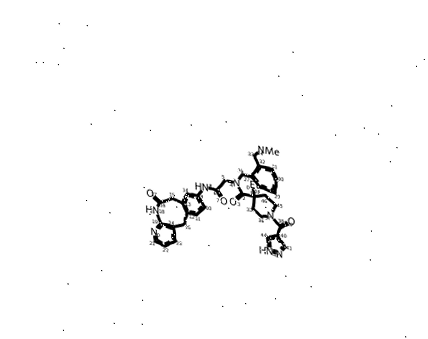 CCC1(C(=O)N(CC(=O)Nc2ccc3c(c2)CC(=O)Nc2ncccc2C3)Cc2ccccc2CNC)CCN(C(=O)c2cn[nH]c2)CC1